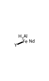 [AlH3].[Fe][Y].[Nd]